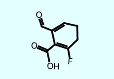 O=CC1=CCCC(F)=C1C(=O)O